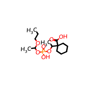 CCCOC(C)OP(=O)(O)OC(C)C1(C(=O)O)CCCCC1